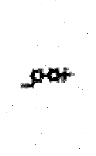 OCc1ccnc(-c2ccc(C(F)(F)F)cc2)n1